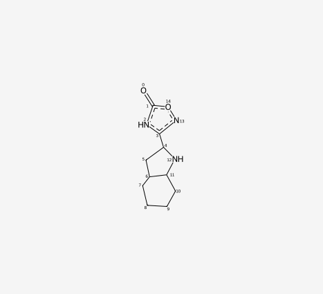 O=c1[nH]c(C2CC3CCCCC3N2)no1